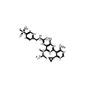 COc1ncnc(C2CC2)c1-c1nc(C)c(/N=C(\C=O)NCc2ccc(S(C)(=N)=O)cn2)c(N(C)C(C)C(F)(F)F)n1